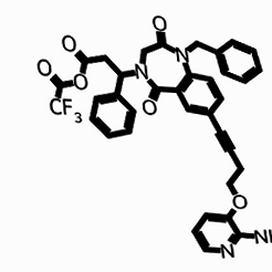 Nc1ncccc1OCCC#Cc1ccc2c(c1)C(=O)N(C(CC(=O)OC(=O)C(F)(F)F)c1ccccc1)CC(=O)N2Cc1ccccc1